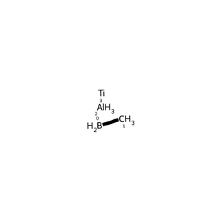 BC.[AlH3].[Ti]